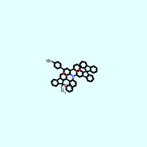 CC(C)(C)c1ccc(-c2ccc(N(c3ccc4c(c3)-c3ccccc3C43c4ccccc4-c4ccccc43)c3ccc4ccccc4c3-c3cccc4c3C(C)(C)c3ccccc3-4)c(-c3ccccc3)c2)cc1